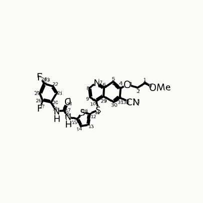 COCCOc1cc2nccc(Sc3ccc(NC(=O)Nc4ccc(F)cc4F)s3)c2cc1C#N